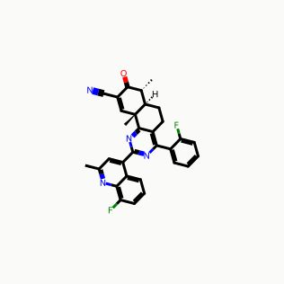 Cc1cc(-c2nc(-c3ccccc3F)c3c(n2)[C@]2(C)C=C(C#N)C(=O)[C@H](C)[C@H]2CC3)c2cccc(F)c2n1